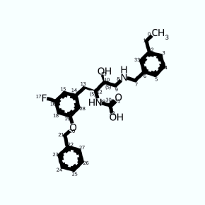 CCc1cccc(CNC[C@H](O)[C@H](Cc2cc(F)cc(OCc3ccccc3)c2)NC(=O)O)c1